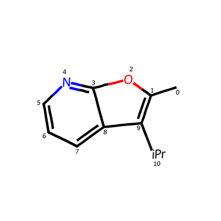 Cc1oc2ncccc2c1C(C)C